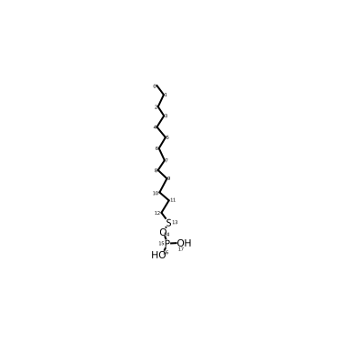 CCCCCCCCCCCCCSOP(O)O